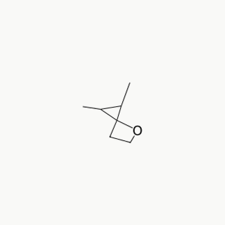 CC1C(C)C12CCO2